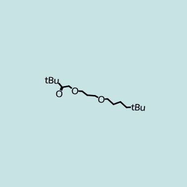 CC(C)(C)CCCCOCCCOCC(=O)C(C)(C)C